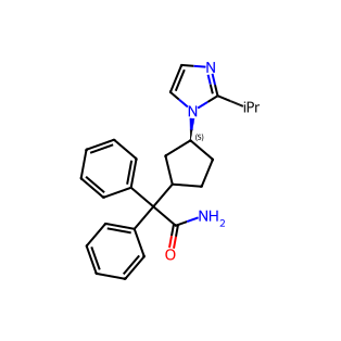 CC(C)c1nccn1[C@H]1CCC(C(C(N)=O)(c2ccccc2)c2ccccc2)C1